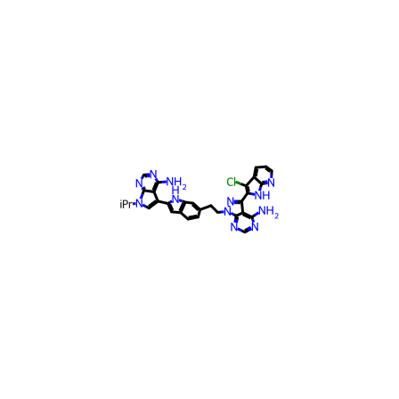 CC(C)n1cc(-c2cc3ccc(CCn4nc(-c5[nH]c6ncccc6c5Cl)c5c(N)ncnc54)cc3[nH]2)c2c(N)ncnc21